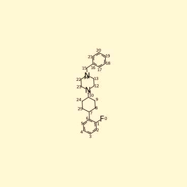 Fc1ccccc1C1CCC(N2CCN(Cc3ccccc3)CC2)CC1